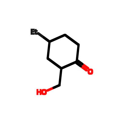 CCC1CCC(=O)C(CO)C1